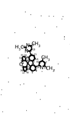 Cc1cc(C)nc(-c2cccc3c2-c2ccc(-c4cc(C)nc(C)n4)cc2C32c3ccccc3Oc3ccccc32)c1